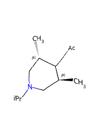 CC(=O)C1[C@@H](C)CN(C(C)C)C[C@@H]1C